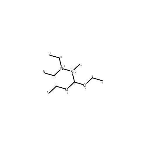 CCOC(OCC)[SiH](C)N(CC)CC